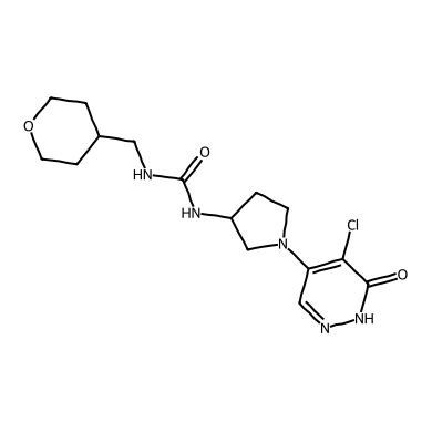 O=C(NCC1CCOCC1)NC1CCN(c2cn[nH]c(=O)c2Cl)C1